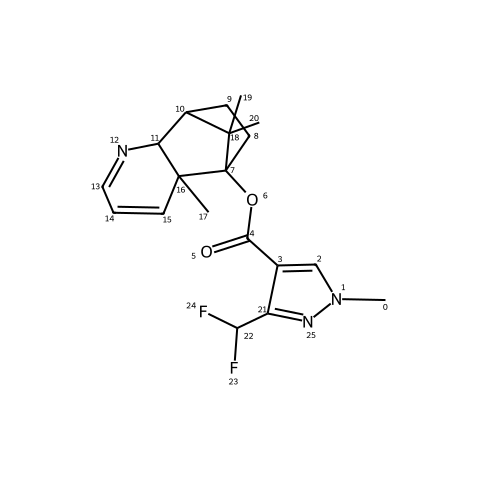 Cn1cc(C(=O)OC23CCC(C4N=CC=CC42C)C3(C)C)c(C(F)F)n1